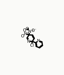 O=[N+]([O-])C1([N+](=O)[O-])C=CC(Cl)(c2ccccn2)N=C1